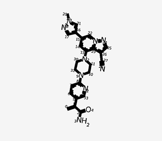 C=C(C(N)=O)c1ccc(N2CCN(c3cc(-c4cnn(C)c4)cn4ncc(C#N)c34)CC2)nc1